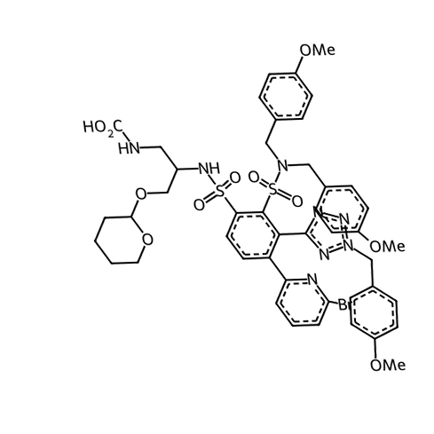 COc1ccc(CN(Cc2ccc(OC)cc2)S(=O)(=O)c2c(S(=O)(=O)NC(CNC(=O)O)COC3CCCCO3)ccc(-c3cccc(Br)n3)c2-c2nnn(Cc3ccc(OC)cc3)n2)cc1